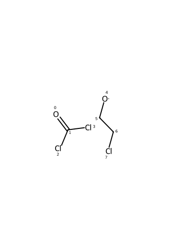 O=C(Cl)Cl.[O]CCCl